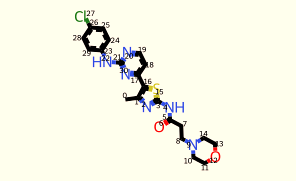 Cc1nc(NC(=O)CCN2CCOCC2)sc1-c1ccnc(Nc2ccc(Cl)cc2)n1